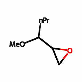 CCCC(OC)C1CO1